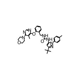 Cc1ccc(-n2nc(C(C)(C)C)cc2NC(=O)NCc2ccccc2Oc2ncnc(N3CCOCC3)c2C)cc1